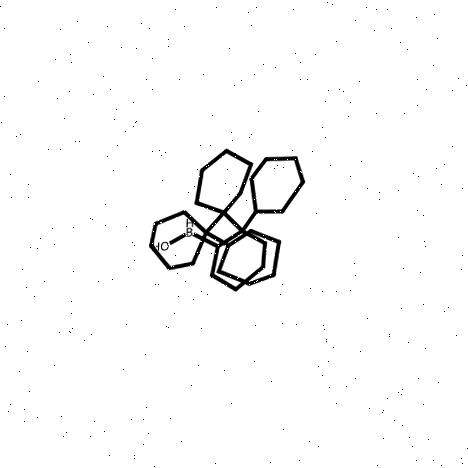 OBC1CCCCC1(C1CCCCC1)C1(C2(C3CCCCC3)CCCCC2)CCCCC1